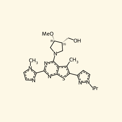 CO[C@H]1CN(c2nc(-c3nccn3C)nc3sc(-c4ccn(C(C)C)n4)c(C)c23)C[C@H]1CO